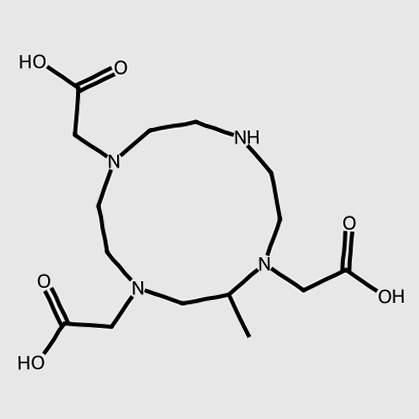 CC1CN(CC(=O)O)CCN(CC(=O)O)CCNCCN1CC(=O)O